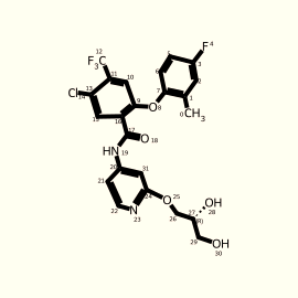 Cc1cc(F)ccc1Oc1cc(C(F)(F)F)c(Cl)cc1C(=O)Nc1ccnc(OC[C@H](O)CO)c1